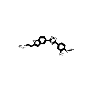 [C-]#[N+]c1cc(-c2nc(-c3ccc4[nH]c(CCC(=O)O)cc4c3)no2)ccc1OC(C)C